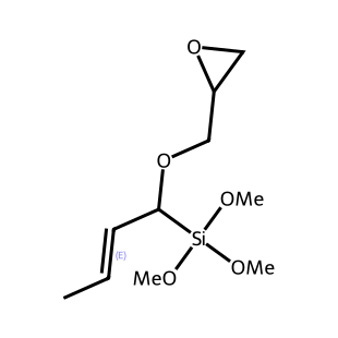 C/C=C/C(OCC1CO1)[Si](OC)(OC)OC